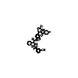 CCC(=O)N[C@@H](C(=O)N1CCN(C)CC1)C(C)c1ccc(NC(=O)C(NC(=O)C(F)(F)c2cccc(C#N)c2)C2CCCCC2)c(F)c1